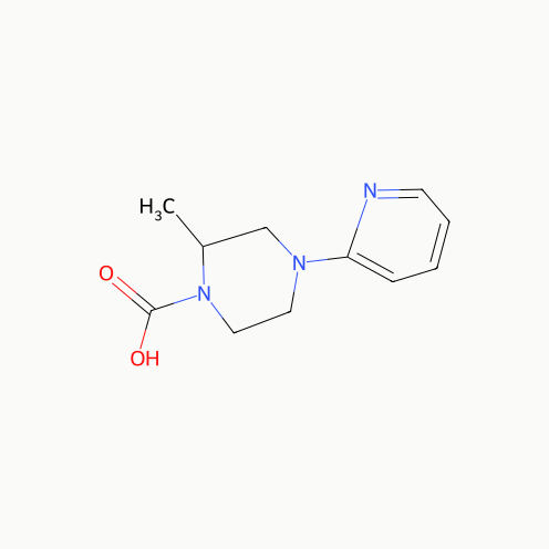 CC1CN(c2ccccn2)CCN1C(=O)O